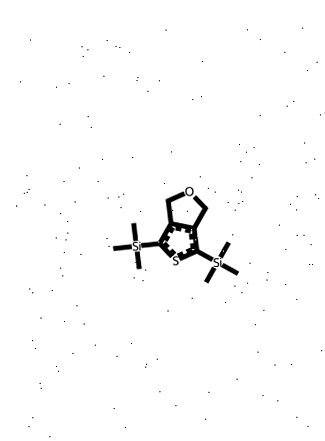 C[Si](C)(C)c1sc([Si](C)(C)C)c2c1COC2